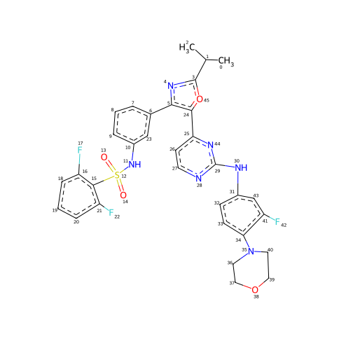 CC(C)c1nc(-c2cccc(NS(=O)(=O)c3c(F)cccc3F)c2)c(-c2ccnc(Nc3ccc(N4CCOCC4)c(F)c3)n2)o1